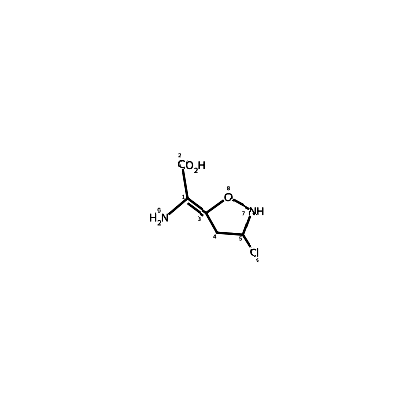 NC(C(=O)O)=C1CC(Cl)NO1